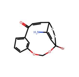 NC1=CC2(Br)CCC1C=CC(=O)c1cccc(c1)OCO2